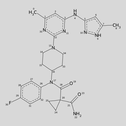 Cc1cc(Nc2cc(C)[nH]n2)nc(N2CCC(N(C(=O)C3(C(N)=O)CC3)c3ccc(F)cc3)CC2)n1